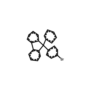 Brc1ccc(C2(c3ccccc3)c3ccccc3-c3ccccc32)cc1